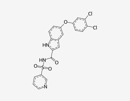 O=C(NS(=O)(=O)c1cccnc1)c1cc2cc(Oc3ccc(Cl)c(Cl)c3)ccc2[nH]1